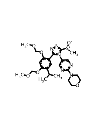 COCOc1cc(OCOC)c(C(C)C)cc1-c1nnc([S+](C)[O-])n1-c1cnc(N2CCOCC2)nc1